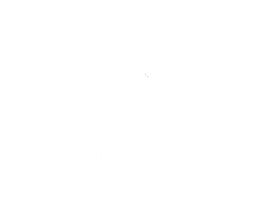 Cc1c(C=O)cccc1-c1ccncc1